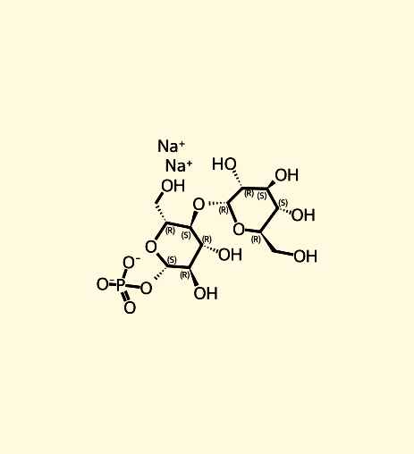 O=P([O-])([O-])O[C@@H]1O[C@H](CO)[C@@H](O[C@H]2O[C@H](CO)[C@@H](O)[C@H](O)[C@H]2O)[C@H](O)[C@H]1O.[Na+].[Na+]